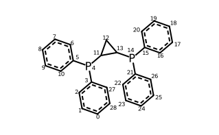 c1ccc(P(c2ccccc2)C2CC2P(c2ccccc2)c2ccccc2)cc1